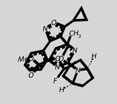 COC(=O)c1cc(C)nc(N2[C@@H]3CC[C@H]2C[C@@H](OCc2c(-c4ccccc4OC(F)F)noc2C2CC2)C3)n1